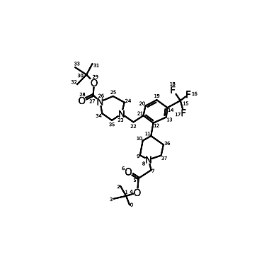 CC(C)(C)OC(=O)CN1CCC(c2cc(C(F)(F)F)ccc2CN2CCN(C(=O)OC(C)(C)C)CC2)CC1